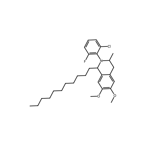 CCCCCCCCCCCC1c2cc(OC)c(OC)cc2CC(C)N1c1c(F)cccc1Cl